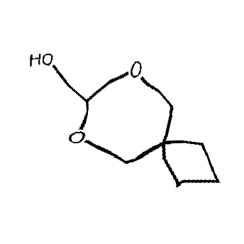 OC1OCC2(CCC2)CO1